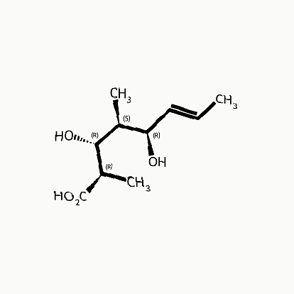 CC=C[C@@H](O)[C@H](C)[C@@H](O)[C@@H](C)C(=O)O